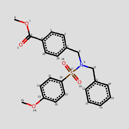 COC(=O)c1ccc(CN(Cc2ccccc2)S(=O)(=O)c2ccc(OC)cc2)cc1